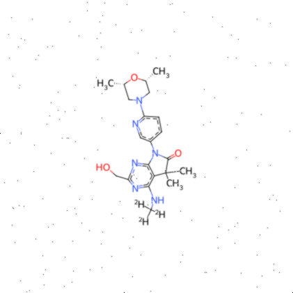 [2H]C([2H])([2H])Nc1nc(CO)nc2c1C(C)(C)C(=O)N2c1ccc(N2C[C@@H](C)O[C@@H](C)C2)nc1